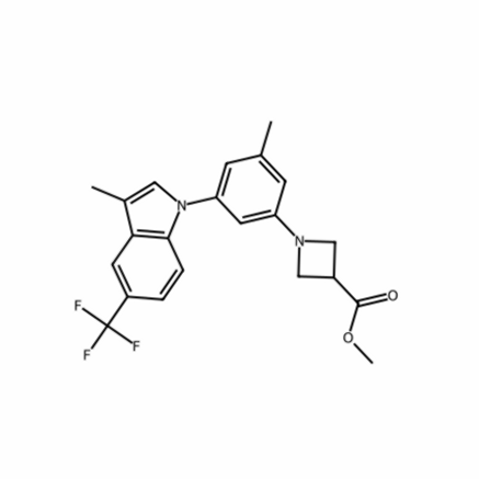 COC(=O)C1CN(c2cc(C)cc(-n3cc(C)c4cc(C(F)(F)F)ccc43)c2)C1